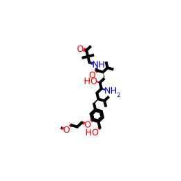 COCCCOc1cc(C[C@@H](C[C@H](N)[C@@H](O)C[C@H](C(=O)NCC(C)(C)C(C)=O)C(C)C)C(C)C)ccc1CO